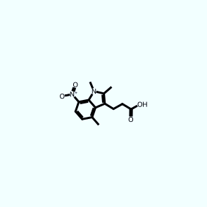 Cc1ccc([N+](=O)[O-])c2c1c(CCC(=O)O)c(C)n2C